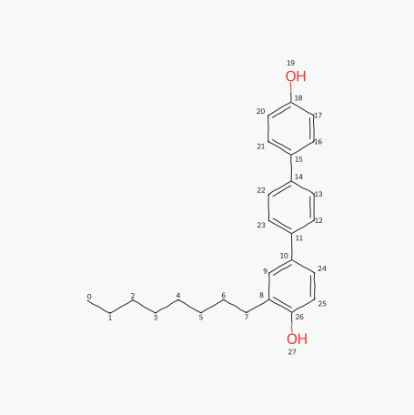 CCCCCCCCc1cc(-c2ccc(-c3ccc(O)cc3)cc2)ccc1O